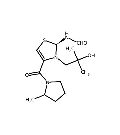 CC1CCCN1C(=O)C1=CS[C@@H](NC=O)N1CC(C)(C)O